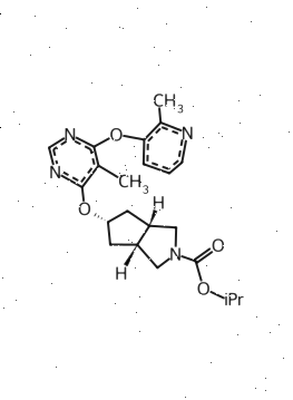 Cc1ncccc1Oc1ncnc(O[C@@H]2C[C@@H]3CN(C(=O)OC(C)C)C[C@@H]3C2)c1C